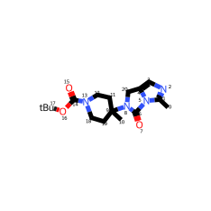 Cc1ncc2n1C(=O)N(C1(C)CCN(C(=O)OC(C)(C)C)CC1)C2